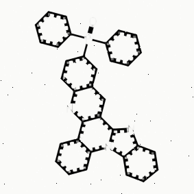 O=P(c1ccccc1)(c1ccccc1)c1ccc2nc3c4ccccc4n4c5ccccc5nc4c3cc2c1